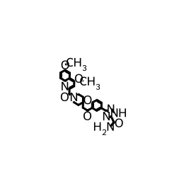 COc1ccc2nc(C(=O)N3CCC4(CC3)CC(=O)c3cc(-c5n[nH]c(C(N)=O)n5)ccc3O4)cc(OC)c2c1